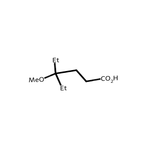 [CH2]CC(CC)(CCC(=O)O)OC